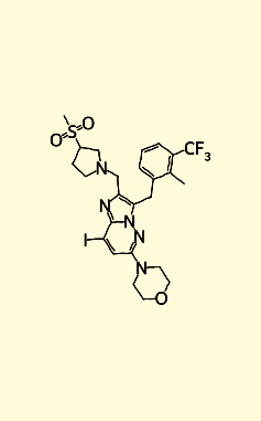 Cc1c(Cc2c(CN3CCC(S(C)(=O)=O)C3)nc3c(I)cc(N4CCOCC4)nn23)cccc1C(F)(F)F